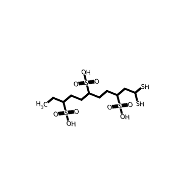 CCC(CCC(CCC(CC(S)S)S(=O)(=O)O)S(=O)(=O)O)S(=O)(=O)O